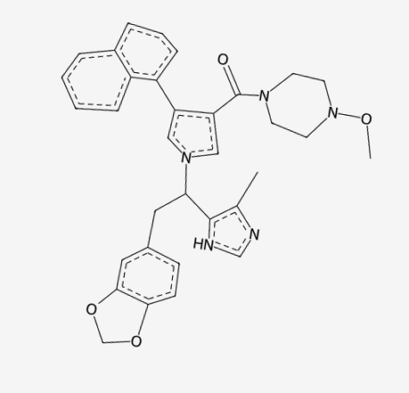 CON1CCN(C(=O)c2cn(C(Cc3ccc4c(c3)OCO4)c3[nH]cnc3C)cc2-c2cccc3ccccc23)CC1